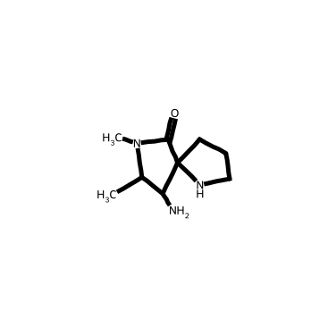 CC1C(N)C2(CCCN2)C(=O)N1C